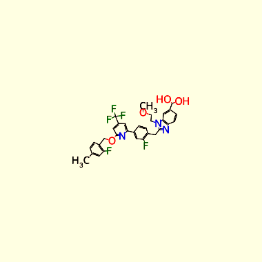 COCCn1c(Cc2ccc(-c3cc(C(F)(F)F)cc(OCc4ccc(C)cc4F)n3)cc2F)nc2ccc(C(O)O)cc21